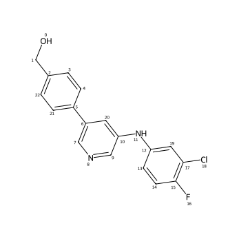 OCc1ccc(-c2cncc(Nc3ccc(F)c(Cl)c3)c2)cc1